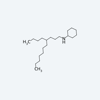 CCCCCCCC(CCCC)CCCNC1CCCCC1